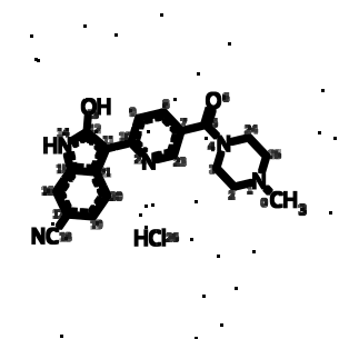 CN1CCN(C(=O)c2ccc(-c3c(O)[nH]c4cc(C#N)ccc34)nc2)CC1.Cl